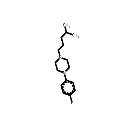 CC(C)CCCN1CCN(c2ccc(F)cc2)CC1